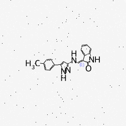 Cc1ccc(-c2cc(N/C=C3/C(=O)Nc4ccccc43)n[nH]2)cc1